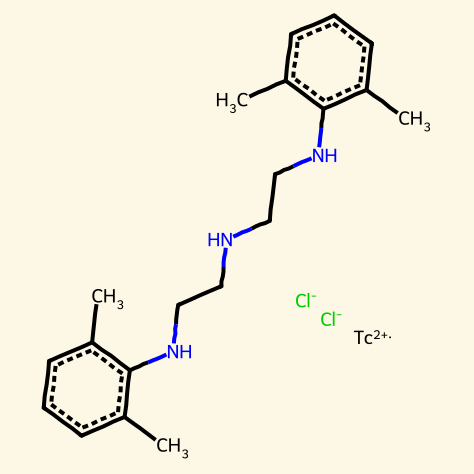 Cc1cccc(C)c1NCCNCCNc1c(C)cccc1C.[Cl-].[Cl-].[Tc+2]